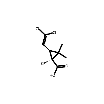 CC1(C)[C@H](C=C(Cl)Cl)[C@]1(Cl)C(=O)O